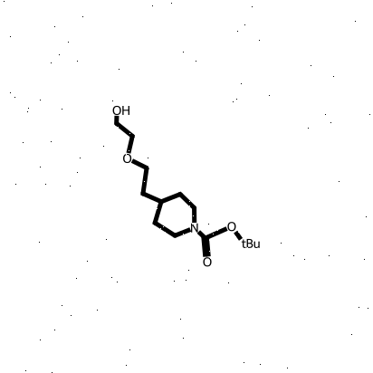 CC(C)(C)OC(=O)N1CCC(CCOCCO)CC1